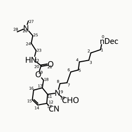 CCCCCCCCCCCCCCCCCCN(C=O)C1C(C#N)C=CCC1COC(=O)NCCCN(C)C